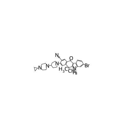 CC1(C)c2cc(N3CCC(N4CCN(C5CC5)CC4)CC3)c(C#N)cc2C(=O)c2c1[nH]c1cc(Br)ccc21